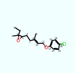 CCC1(C)OC1CC/C(C)=C/COc1ccc(Cl)cc1